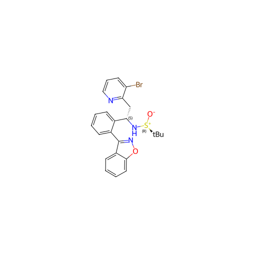 CC(C)(C)[S@+]([O-])N[C@@H](Cc1ncccc1Br)c1ccccc1-c1noc2ccccc12